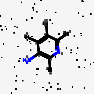 [2H]c1nc([2H])c(N)c([2H])c1[2H]